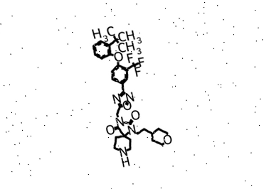 CC(C)(C)c1ccccc1Oc1ccc(-c2noc(CN3C(=O)N(CCC4CCOCC4)C4(CCNCC4)C3=O)n2)cc1C(F)(F)F